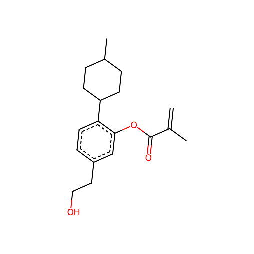 C=C(C)C(=O)Oc1cc(CCO)ccc1C1CCC(C)CC1